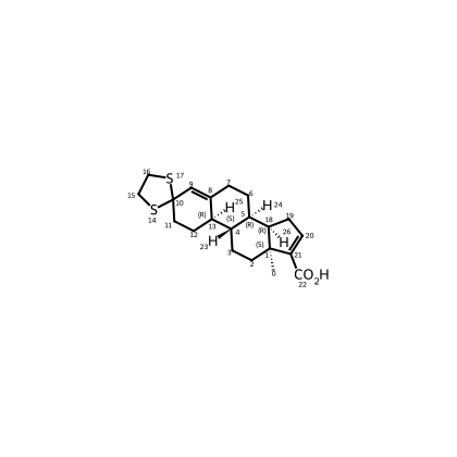 C[C@]12CC[C@H]3[C@@H](CCC4=CC5(CC[C@@H]43)SCCS5)[C@H]1CC=C2C(=O)O